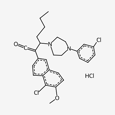 CCCCC(C(=C=O)c1ccc2c(Cl)c(OC)ccc2c1)N1CCN(c2cccc(Cl)c2)CC1.Cl